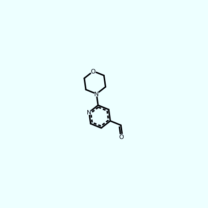 O=Cc1ccnc(N2CCOCC2)c1